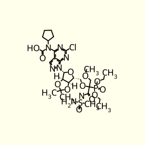 CCOP(=O)(OCC)C(COC)(OC[C@H]1O[C@@H](n2ncc3c(N(C(=O)O)C4CCCC4)nc(Cl)nc32)[C@@H]2OC(C)(C)O[C@@H]21)C(=O)N=S(C)(N)=O